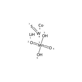 [Co].[LiH].[O]=[Mn](=[O])([OH])[OH].[S]=[W]